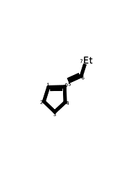 C1=CCCC1.C=CCC